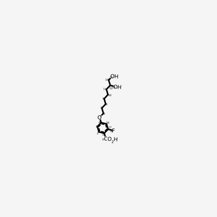 O=C(O)c1ccc(OCCCCCCC(O)CO)cc1F